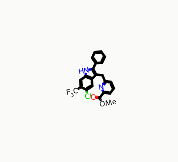 COC(=O)c1cccc(Cc2c(-c3ccccc3)[nH]c3cc(C(F)(F)F)c(Cl)cc23)n1